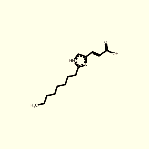 CCCCCCCCc1nc(C=CC(=O)O)c[nH]1